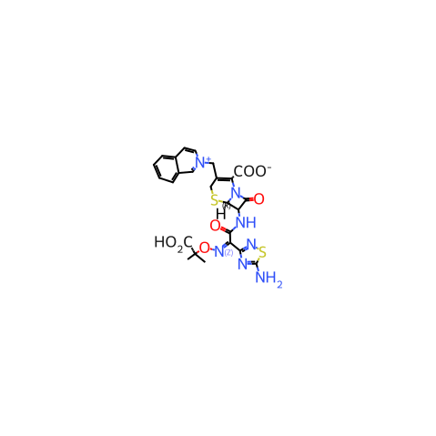 CC(C)(O/N=C(\C(=O)NC1C(=O)N2C(C(=O)[O-])=C(C[n+]3ccc4ccccc4c3)CS[C@H]12)c1nsc(N)n1)C(=O)O